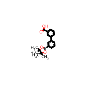 CC1(C)OB(c2cccc(-c3cccc(C(=O)O)c3)c2)OC1(C)C